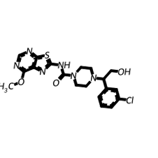 COc1ncnc2sc(NC(=O)N3CCN(C(CO)c4cccc(Cl)c4)CC3)nc12